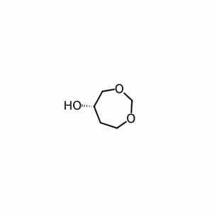 O[C@H]1CCOCOC1